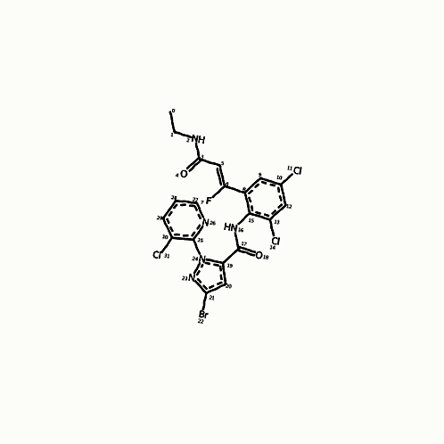 CCNC(=O)C=C(F)c1cc(Cl)cc(Cl)c1NC(=O)c1cc(Br)nn1-c1ncccc1Cl